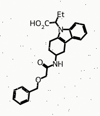 CCC(C(=O)O)n1c2c(c3ccccc31)CC(NC(=O)COCc1ccccc1)CC2